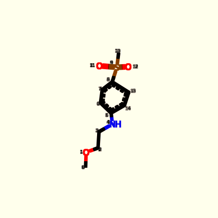 COCCNc1ccc(S(C)(=O)=O)cc1